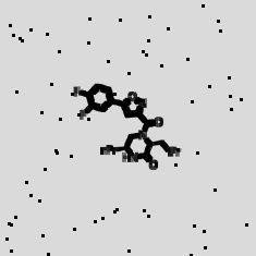 CCC[C@H]1CN(C(=O)c2cc(-c3ccc(F)c(F)c3)on2)[C@@H](CC(C)C)C(=O)N1